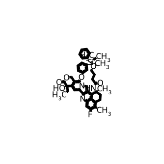 CC[C@@]1(O)C(=O)OCc2c1cc1n(c2=O)Cc2c-1nc1cc(F)c(C)c3c1c2[C@@](C)(NC(=O)CCCO[Si](c1ccccc1)(c1ccccc1)C(C)(C)C)CC3